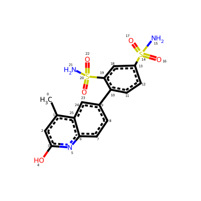 Cc1cc(O)nc2ccc(-c3ccc(S(N)(=O)=O)cc3S(N)(=O)=O)cc12